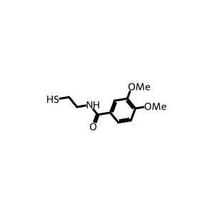 COc1ccc(C(=O)NCCS)cc1OC